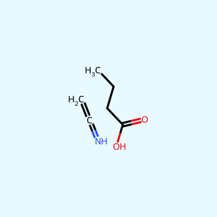 C=C=N.CCCC(=O)O